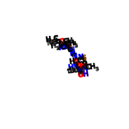 Cc1cc(O[C@H]2C(C)(C)[C@H](NC(=O)c3ccc(N4CCN(CCOCC(=O)N[C@H](C(O)N5C[C@H](O)C[C@H]5C(=O)N[C@@H](C)c5ccc(-c6scnc6C)cc5)C(C)(C)C)CC4)nc3)C2(C)C)ccc1C#N